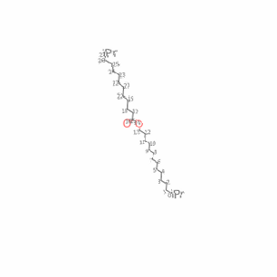 CC(C)CCCCCCCCCCCCCOC(=O)CCCCCCCCCCC(C)C